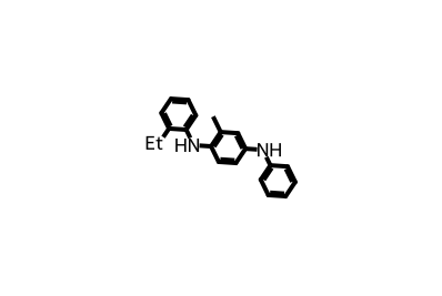 CCc1ccccc1Nc1ccc(Nc2ccccc2)cc1C